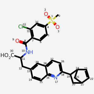 CS(=O)(=O)c1ccc(C(=O)NC(Cc2ccc3nc(C4CC5C=CC4C5)ccc3c2)C(=O)O)c(Cl)c1